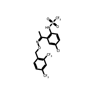 CC(=NOCc1ccc(C(F)(F)F)cc1C(F)(F)F)c1cc(Cl)ccc1NS(=O)(=O)C(F)(F)F